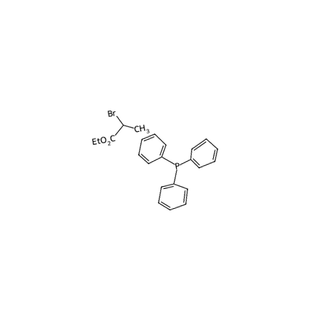 CCOC(=O)C(C)Br.c1ccc(P(c2ccccc2)c2ccccc2)cc1